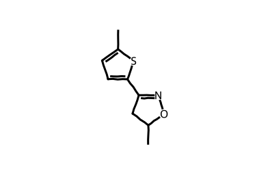 Cc1ccc(C2=NOC(C)C2)s1